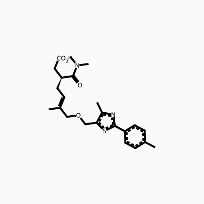 CC(=CC[C@@H](CC(=O)O)C(=O)N(C)C)COCc1sc(-c2ccc(C)cc2)nc1C